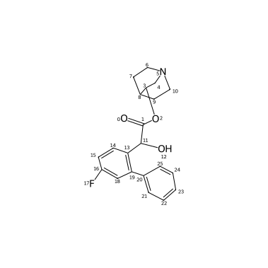 O=C(OC1CN2CCC1CC2)C(O)c1ccc(F)cc1-c1ccccc1